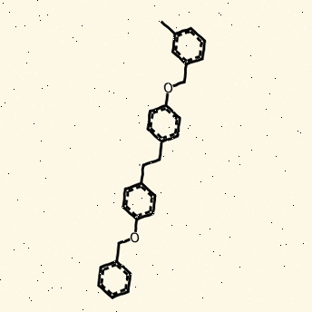 Cc1cccc(COc2ccc(C[CH]c3ccc(OCc4ccccc4)cc3)cc2)c1